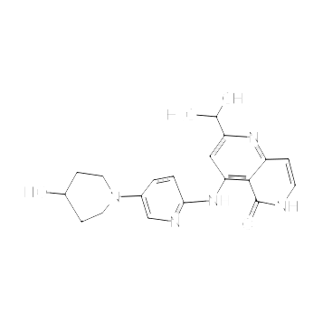 CC(C)c1cc(Nc2ccc(N3CCC(O)CC3)cn2)c2c(=O)[nH]ccc2n1